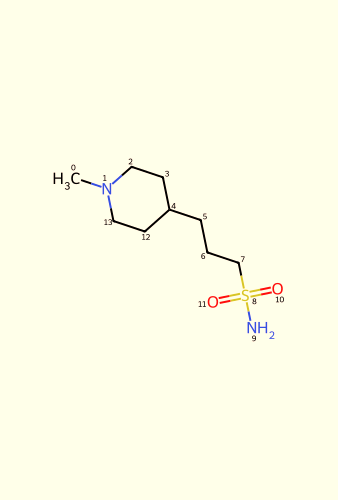 CN1CCC(CCCS(N)(=O)=O)CC1